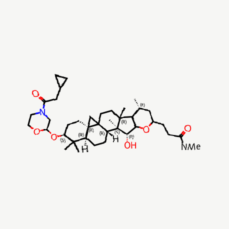 CNC(=O)CCC1C[C@@H](C)C2C(O1)[C@H](O)[C@@]1(C)[C@@H]3CC[C@H]4C(C)(C)[C@@H](OC5CN(C(=O)CC6CC6)CCO5)CC[C@@]45CC35CC[C@]21C